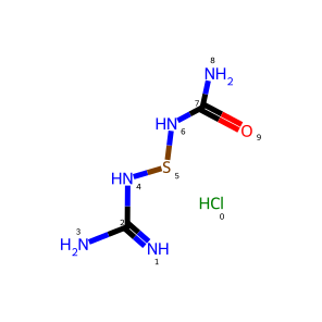 Cl.N=C(N)NSNC(N)=O